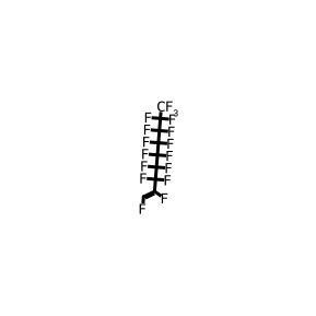 FC=C(F)C(F)(F)C(F)(F)C(F)(F)C(F)(F)C(F)(F)C(F)(F)C(F)(F)F